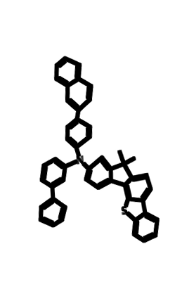 CC1(C)c2cc(N(c3ccc(-c4ccc5ccccc5c4)cc3)c3cccc(-c4ccccc4)c3)ccc2-c2c1ccc1c2sc2ccccc21